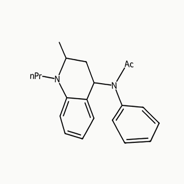 CCCN1c2ccccc2C(N(C(C)=O)c2ccccc2)CC1C